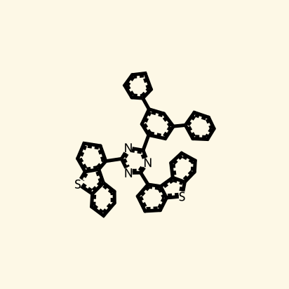 c1ccc(-c2cc(-c3ccccc3)cc(-c3nc(-c4cccc5sc6ccccc6c45)nc(-c4cccc5sc6ccccc6c45)n3)c2)cc1